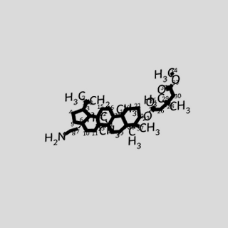 C=C(C)C1CC[C@]2(CCN)CC[C@]3(C)C(CCC4[C@@]5(C)CC[C@H](OC(=O)CC(C)(C)CC(=O)OC)C(C)(C)C5CC[C@]43C)C12